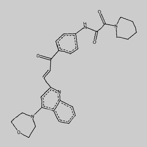 O=C(Nc1ccc(C(=O)/C=C/c2cc(N3CCOCC3)c3ccccc3n2)cc1)C(=O)N1CCCCC1